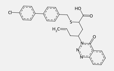 C=CCC(CC(SCc1ccc(-c2ccc(Cl)cc2)cc1)C(=O)O)n1nnc2ccccc2c1=O